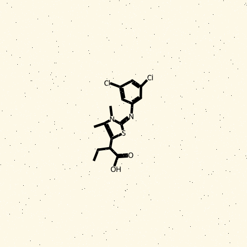 CCC(C(=O)O)c1sc(=Nc2cc(Cl)cc(Cl)c2)n(C)c1C